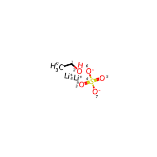 CCO.O=S(=O)([O-])[O-].[Li+].[Li+]